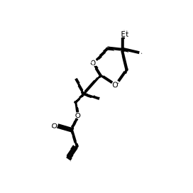 [CH2]C1(CC)COC(C(C)(C)COC(=O)C=C)OC1